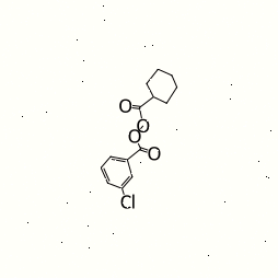 O=C(OOC(=O)C1CCCCC1)c1cccc(Cl)c1